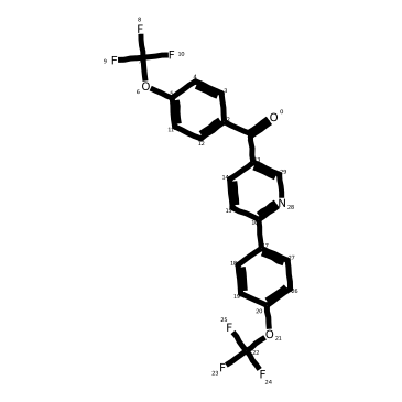 O=C(c1ccc(OC(F)(F)F)cc1)c1ccc(-c2ccc(OC(F)(F)F)cc2)nc1